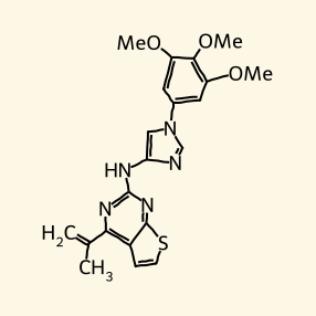 C=C(C)c1nc(Nc2cn(-c3cc(OC)c(OC)c(OC)c3)cn2)nc2sccc12